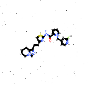 O=C(Nc1nc(C=Cc2ncn3c2CCCC3)cs1)c1cccn1Cc1ccnc(F)c1